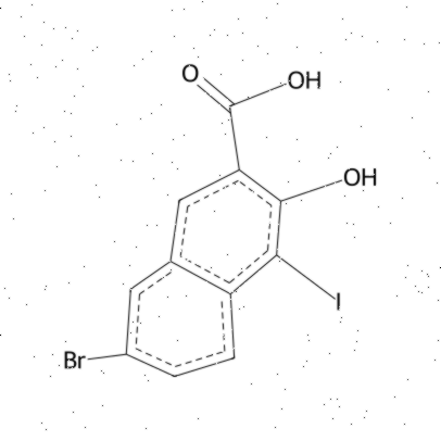 O=C(O)c1cc2cc(Br)ccc2c(I)c1O